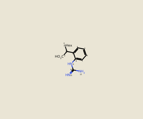 CCCCCCC(C(=O)O)c1ccccc1NC(=N)N